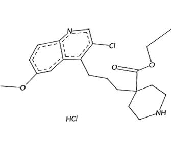 CCOC(=O)C1(CCCc2c(Cl)cnc3ccc(OC)cc23)CCNCC1.Cl